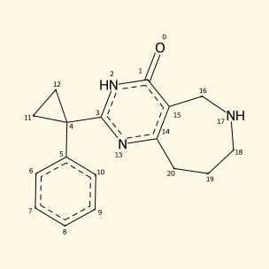 O=c1[nH]c(C2(c3ccccc3)CC2)nc2c1CNCCC2